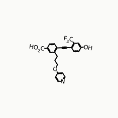 O=C(O)c1ccc(C#Cc2ccc(O)cc2C(F)(F)F)c(CCCOc2ccncc2)c1